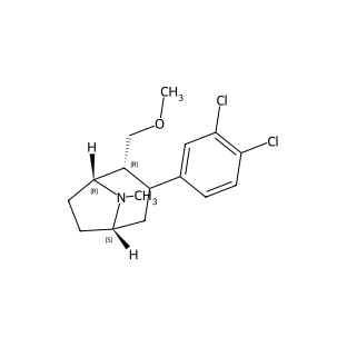 COC[C@@H]1C(c2ccc(Cl)c(Cl)c2)C[C@@H]2CC[C@H]1N2C